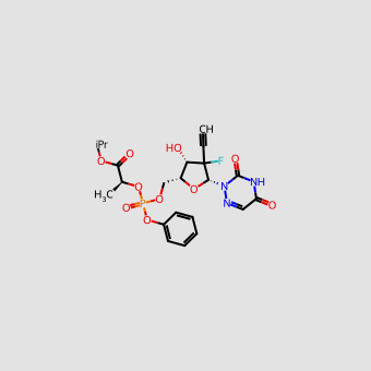 C#CC1(F)[C@@H](O)[C@@H](COP(=O)(Oc2ccccc2)O[C@@H](C)C(=O)OC(C)C)O[C@H]1n1ncc(=O)[nH]c1=O